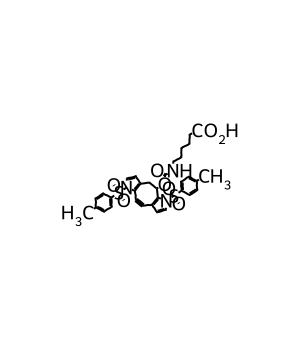 Cc1ccc(S(=O)(=O)n2ccc3c2C#Cc2ccn(S(=O)(=O)c4ccc(C)cc4)c2C(OC(=O)NCCCCCC(=O)O)C3)cc1